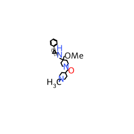 COCC1(CN[C@H]2C[C@H]2c2ccccc2)CCN(C(=O)C2CCN(C)CC2)CC1